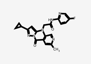 Cc1cc2c(=O)n3nc(C4CC4)cc3n(CC(=O)Nc3ccc(F)cn3)c2cn1